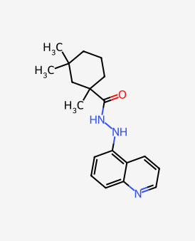 CC1(C)CCCC(C)(C(=O)NNc2cccc3ncccc23)C1